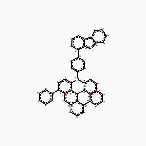 c1ccc(-c2ccc(N(c3ccc(-c4cccc5c4sc4ccccc45)cc3)c3ccccc3-c3cccc4cccc(-c5ccccc5)c34)cc2)cc1